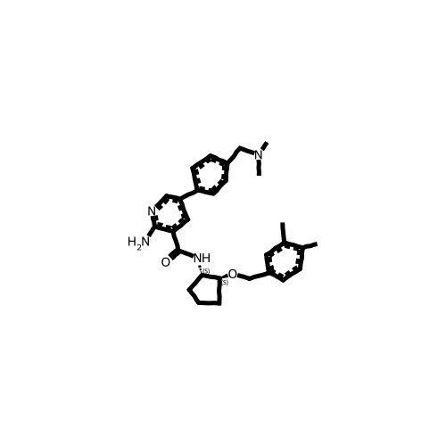 Cc1ccc(CO[C@H]2CCC[C@@H]2NC(=O)c2cc(-c3ccc(CN(C)C)cc3)cnc2N)cc1C